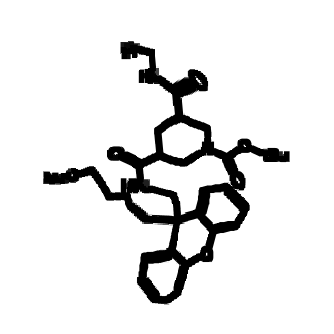 COCCCCC1(CNC(=O)C2CC(C(=O)NCC(C)C)CN(C(=O)OC(C)(C)C)C2)c2ccccc2Oc2ccccc21